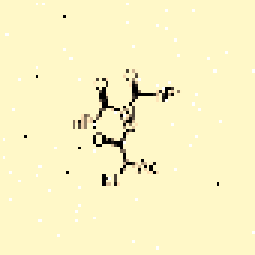 CCC[C](=O)[Al]([O]C(=O)C(CC)C(C)=O)[C](=O)CCC